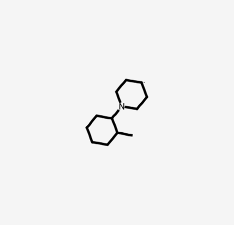 CC1CCCCC1N1CC[CH]CC1